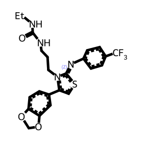 CCNC(=O)NCCCn1c(-c2ccc3c(c2)OCO3)cs/c1=N\c1ccc(C(F)(F)F)cc1